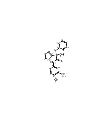 N#Cc1ccc(NC(=O)C(O)(Cc2ccccc2)c2cccs2)cc1C(F)(F)F